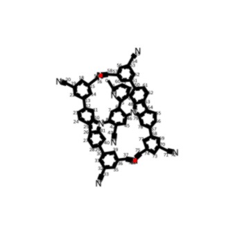 Cc1cccc(-c2cc(-n3c4cc(-c5cc(C#N)cc(C#N)c5)ccc4c4ccc(-c5cc(C#N)cc(C#N)c5)cc43)c(C#N)cc2-n2c3cc(-c4cc(C#N)cc(C#N)c4)ccc3c3ccc(-c4cc(C#N)cc(C#N)c4)cc32)n1